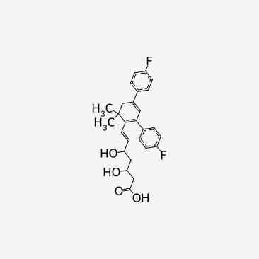 CC1(C)CC(c2ccc(F)cc2)=CC(c2ccc(F)cc2)=C1/C=C/C(O)CC(O)CC(=O)O